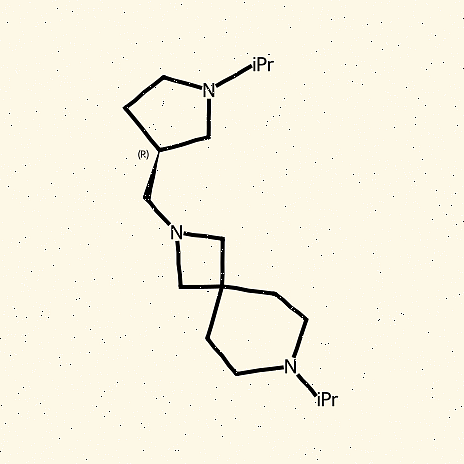 CC(C)N1CCC2(CC1)CN(C[C@H]1CCN(C(C)C)C1)C2